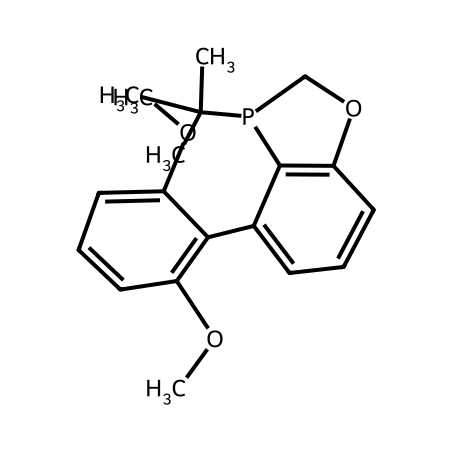 COc1cccc(OC)c1-c1cccc2c1P(C(C)(C)C)CO2